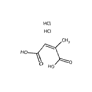 CC(=CC(=O)O)C(=O)O.Cl.Cl